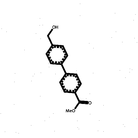 COC(=O)c1ccc(-c2ccc(CO)cc2)cc1